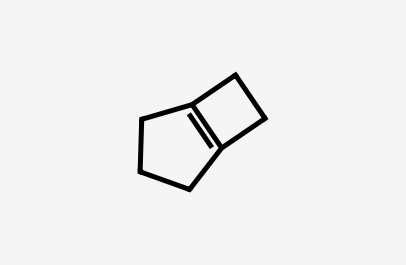 C1CC2=C(C1)CC2